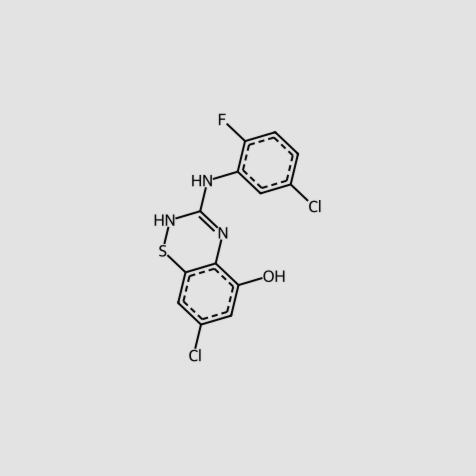 Oc1cc(Cl)cc2c1N=C(Nc1cc(Cl)ccc1F)NS2